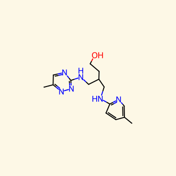 Cc1ccc(NCC(CCO)CNc2ncc(C)nn2)nc1